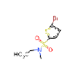 CN(CC(=O)O)S(=O)(=O)c1ccc(Br)s1